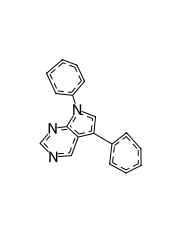 c1ccc(-c2cn(-c3ccccc3)c3ncncc23)cc1